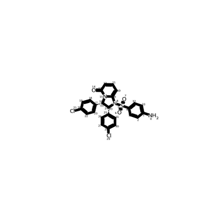 Nc1ccc(S(=O)(=O)N2c3cccc(=O)n3[C@@H](c3ccc(Cl)cc3)[C@H]2c2ccc(Cl)cc2)cc1